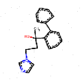 CC(O)(CCn1ccnc1)c1ccccc1-c1ccccc1